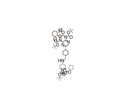 CC(C)(C)OC(=O)N(Cc1c(Cl)cccc1Cl)c1nc(-c2ccc(CNC3CCN(C(=O)OC(C)(C)C)[C@@](C(=O)O)(C4CCCC4)C3)cc2)cnc1N(C(=O)OC(C)(C)C)C(=O)OC(C)(C)C